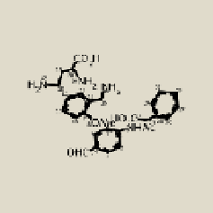 CC(=O)Nc1ccc(C=O)cc1.COc1ccccc1CN.NCC[C@H](N)C(=O)O.O=C(O)Cc1ccccc1